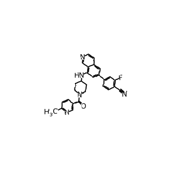 Cc1ccc(C(=O)N2CCC(Nc3cc(-c4ccc(C#N)c(F)c4)cc4ccncc34)CC2)cn1